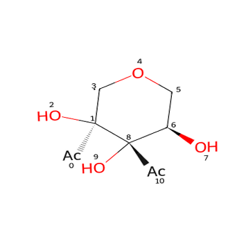 CC(=O)[C@]1(O)[CH]OC[C@@H](O)[C@@]1(O)C(C)=O